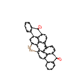 O=C1c2ccccc2-c2cc(Br)c3c4c(Br)cc5c6c(ccc(c7ccc1c2c73)c64)C(=O)c1ccccc1-5